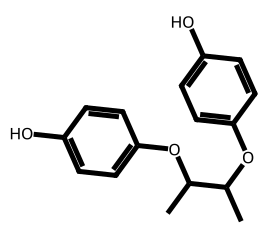 CC(Oc1ccc(O)cc1)C(C)Oc1ccc(O)cc1